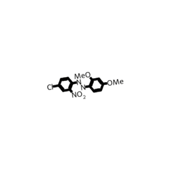 COc1ccc(N=Nc2ccc(Cl)cc2[N+](=O)[O-])c(OC)c1